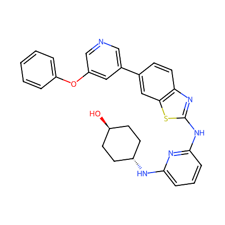 O[C@H]1CC[C@H](Nc2cccc(Nc3nc4ccc(-c5cncc(Oc6ccccc6)c5)cc4s3)n2)CC1